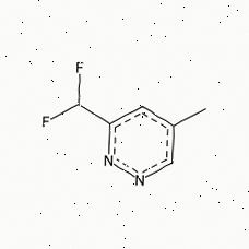 Cc1cnnc(C(F)F)c1